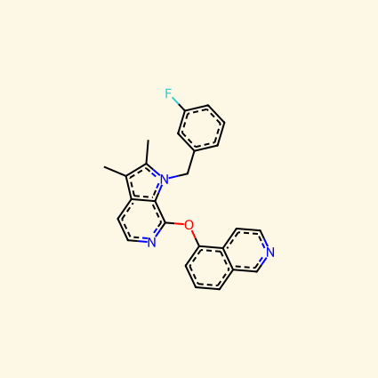 Cc1c(C)n(Cc2cccc(F)c2)c2c(Oc3cccc4cnccc34)nccc12